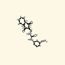 Nc1cccc(NC(=O)NN=c2c(=O)c3ccccc3c2=O)c1